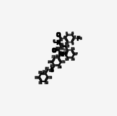 CN(C(=O)c1ccc(F)cc1)[C@@H](Cc1ccccc1)C(=O)Nc1ccc(SCc2ccccc2)cc1